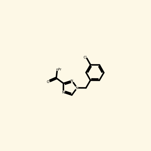 CCCC(=O)c1ncn(Cc2cccc(Cl)c2)n1